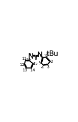 CC(C)(C)c1ccccc1N=C=Nc1ccccc1